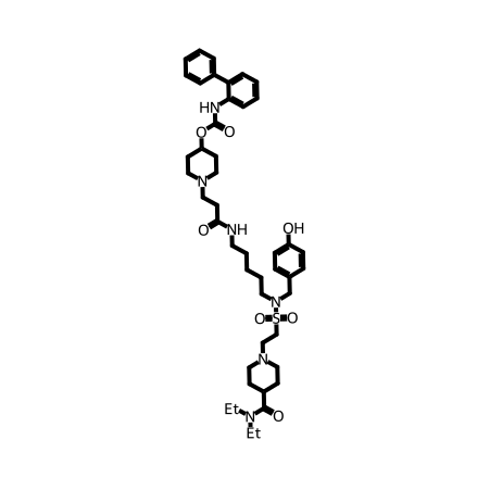 CCN(CC)C(=O)C1CCN(CCS(=O)(=O)N(CCCCCNC(=O)CCN2CCC(OC(=O)Nc3ccccc3-c3ccccc3)CC2)Cc2ccc(O)cc2)CC1